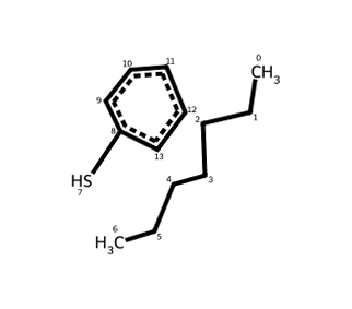 CCCCCCC.Sc1ccccc1